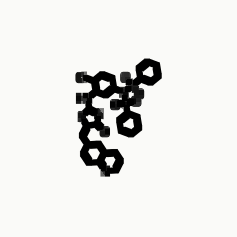 O=C1N=C(Nc2cc(N(S(=O)(=O)c3ccccc3)S(=O)(=O)c3ccccc3)ccc2Cl)SC1=Cc1ccc2ncccc2c1